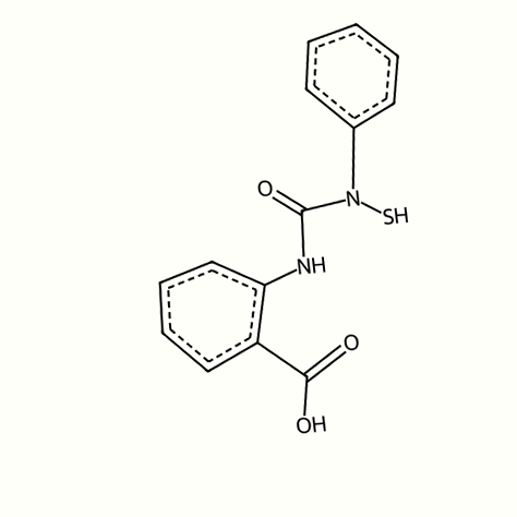 O=C(O)c1ccccc1NC(=O)N(S)c1ccccc1